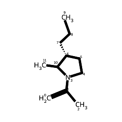 C=C(C)N1CC[C@@H](CCC)C1C